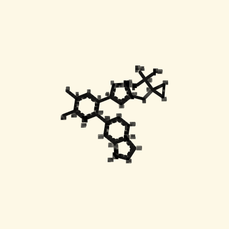 Cc1cc(-c2cnn(CC3(C(F)(F)F)CC3)c2)c(-c2ccn3ccnc3c2)nc1C